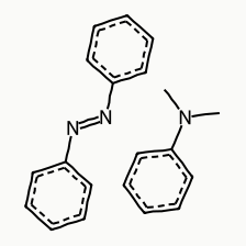 CN(C)c1ccccc1.c1ccc(N=Nc2ccccc2)cc1